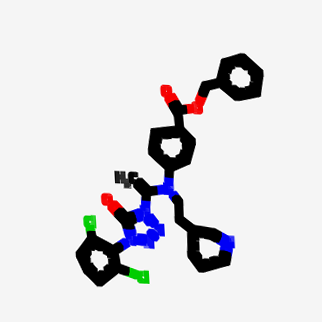 C=C(N(CCc1cccnc1)c1ccc(C(=O)OCc2ccccc2)cc1)n1nnn(-c2c(Cl)cccc2Cl)c1=O